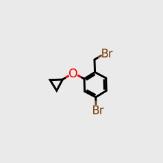 BrCc1ccc(Br)cc1OC1CC1